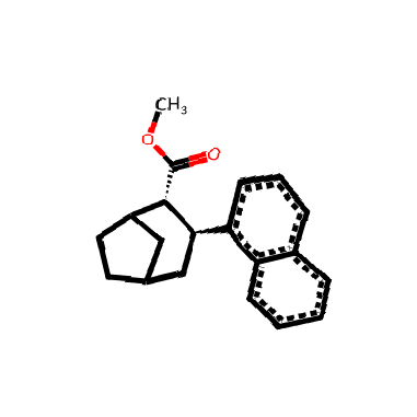 COC(=O)[C@H]1C2CCC(C2)C[C@@H]1c1cccc2ccccc12